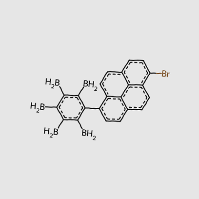 Bc1c(B)c(B)c(-c2ccc3ccc4c(Br)ccc5ccc2c3c54)c(B)c1B